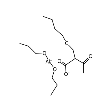 CCCCCCC(C(C)=O)C(=O)[O-].CCC[O][Al+][O]CCC